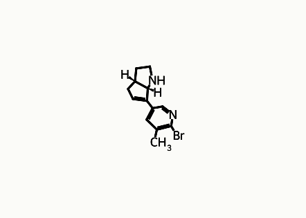 Cc1cc(C2=CC[C@@H]3CCN[C@H]23)cnc1Br